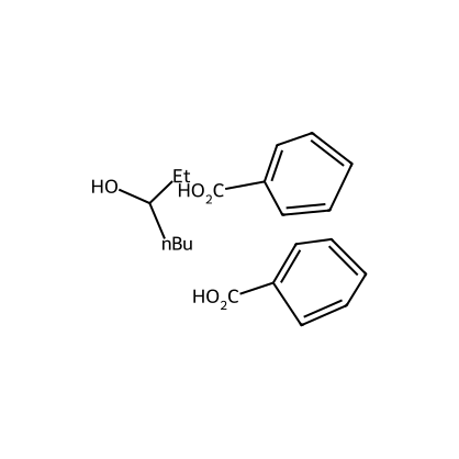 CCCCC(O)CC.O=C(O)c1ccccc1.O=C(O)c1ccccc1